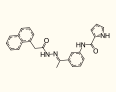 C/C(=N\NC(=O)Cc1cccc2ccccc12)c1cccc(NC(=O)c2ccc[nH]2)c1